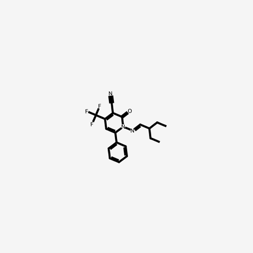 CCC(C=Nn1c(-c2ccccc2)cc(C(F)(F)F)c(C#N)c1=O)CC